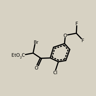 CCOC(=O)C(Br)C(=O)c1cc(OC(F)F)ccc1Cl